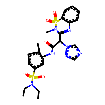 CCN(CC)S(=O)(=O)c1ccc(C)c(NC(=O)C(C2=Nc3ccccc3S(=O)(=O)N2C)n2cncn2)c1